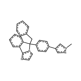 Cn1cc(-c2ccc(C3(Cc4ccccc4)c4ccccc4-c4nccn43)cc2)cn1